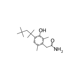 Cc1cc(C(C)(C)CC(C)(C)C)c(O)c(C)c1CC(N)=O